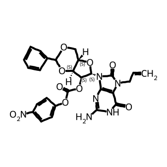 C=CCn1c(=O)n([C@H]2O[C@H]3COC(c4ccccc4)O[C@@H]3[C@@H]2OC(=O)Oc2ccc([N+](=O)[O-])cc2)c2nc(N)[nH]c(=O)c21